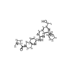 CC(O)c1cc2cnc(Nc3ccc4c(n3)CCN(C(=O)[C@@H]3CCN3C)C4)nc2c(N2C3CCC2CC3)n1